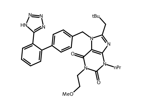 CCCn1c(=O)n(CCOC)c(=O)c2c1nc(CC(C)(C)C)n2Cc1ccc(-c2ccccc2-c2nnn[nH]2)cc1